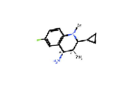 CC(=O)N1c2ccc(F)cc2[C@H](N)[C@@H](C)C1C1CC1